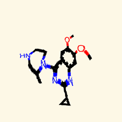 COc1cc2nc(C3CC3)nc(N3CCNCC3C)c2cc1OC